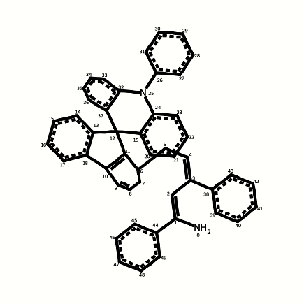 N/C(=C\C(=C/CC1CC=CC2=C1C1(c3ccccc32)c2ccccc2N(c2ccccc2)c2ccccc21)c1ccccc1)c1ccccc1